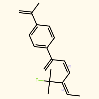 C=C(C)c1ccc(C(=C)/C=C\C(=C/C)C(C)(C)F)cc1